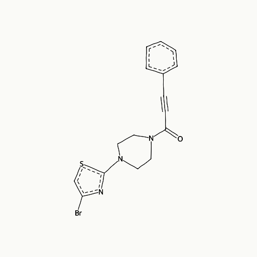 O=C(C#Cc1ccccc1)N1CCN(c2nc(Br)cs2)CC1